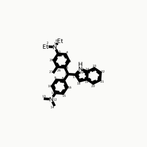 CCN(CC)c1ccc(C(c2ccc(N(C)C)cc2)c2cc3ccccc3[nH]2)c(C)c1